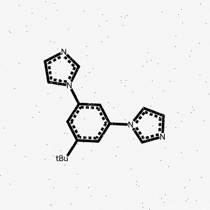 CC(C)(C)c1cc(-n2ccnc2)cc(-n2ccnc2)c1